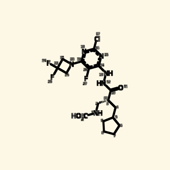 O=C(O)NC[C@@H](CC1CCCC1)C(=O)NNc1nc(Cl)nc(N2CC(F)(F)C2)c1F